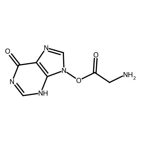 NCC(=O)On1cnc2c(=O)nc[nH]c21